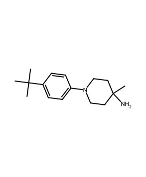 CC1(N)CCN(c2ccc(C(C)(C)C)cc2)CC1